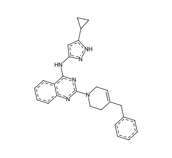 C1=C(Cc2ccccc2)CCN(c2nc(Nc3cc(C4CC4)[nH]n3)c3ccccc3n2)C1